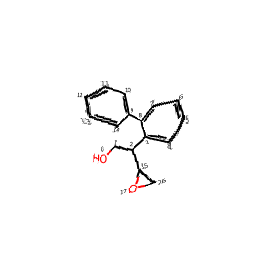 OCC(c1ccccc1-c1ccccc1)C1CO1